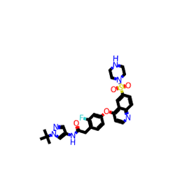 CC(C)(C)n1cc(NC(=O)Cc2ccc(Oc3ccnc4ccc(S(=O)(=O)N5CCNCC5)cc34)cc2F)cn1